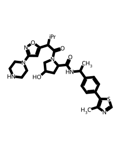 Cc1ncsc1-c1ccc(C(C)NC(=O)C2CC(O)CN2C(=O)C(c2cc(N3CCNCC3)no2)C(C)C)cc1